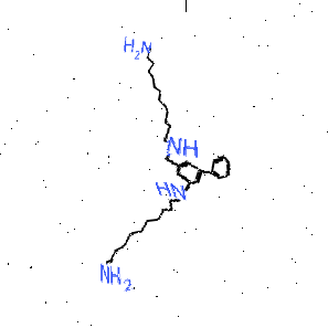 NCCCCCCCCCCCCNCc1cc(CNCCCCCCCCCCCCN)cc(-c2ccccc2)c1